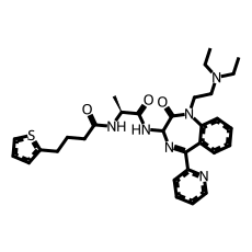 CCN(CC)CCN1C(=O)C(NC(=O)[C@H](C)NC(=O)CCCc2cccs2)N=C(c2ccccn2)c2ccccc21